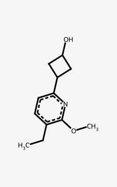 CCc1ccc(C2CC(O)C2)nc1OC